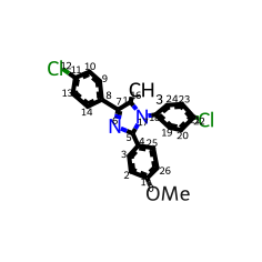 COc1ccc(C2N=C(c3ccc(Cl)cc3)C(C)N2c2ccc(Cl)cc2)cc1